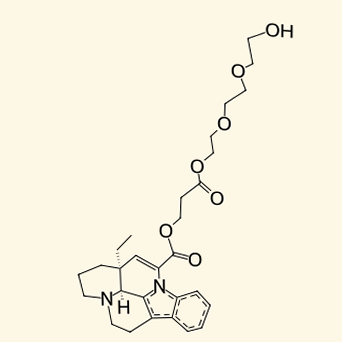 CC[C@@]12C=C(C(=O)OCCC(=O)OCCOCCOCCO)n3c4c(c5ccccc53)CCN(CCC1)[C@H]42